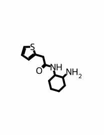 NC1CCCCC1NC(=O)Cc1cccs1